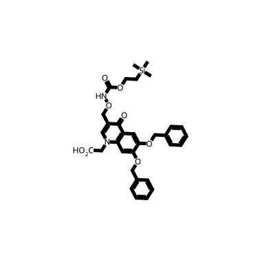 C[Si](C)(C)CCOC(=O)NOCc1cn(CC(=O)O)c2cc(OCc3ccccc3)c(OCc3ccccc3)cc2c1=O